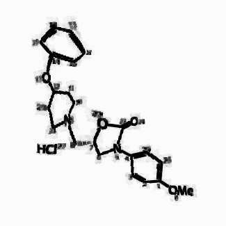 COc1ccc(N2C[C@H](CN3CCC(Oc4ccccc4)CC3)OC2=O)cc1.Cl